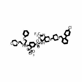 O=S(=O)(Nc1nc(C(F)(F)F)nc2c1CCN(C1CCN(Cc3ccccc3-c3ccc(Cl)cc3)CC1)C2)c1ccc(N[C@H](CCN2CCOCC2)CSc2ccccc2)c(S(=O)(=O)C(F)(F)F)c1